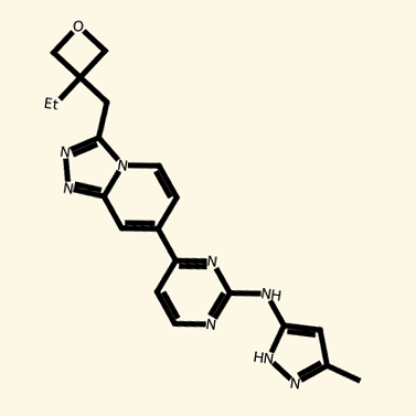 CCC1(Cc2nnc3cc(-c4ccnc(Nc5cc(C)n[nH]5)n4)ccn23)COC1